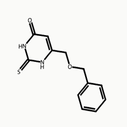 O=c1cc(COCc2ccccc2)[nH]c(=S)[nH]1